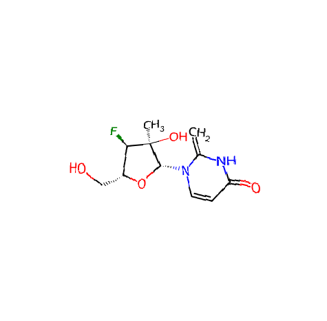 C=C1NC(=O)C=CN1[C@@H]1O[C@H](CO)[C@@H](F)[C@@]1(C)O